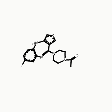 CC(=O)N1CCN(C2=Nc3cc(F)ccc3Nc3cscc32)CC1